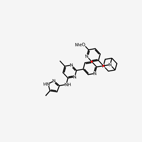 COc1ccc(CN2C3CC2CN(c2ccc(-c4nc(C)cc(Nc5cc(C)[nH]n5)n4)cn2)C3)cn1